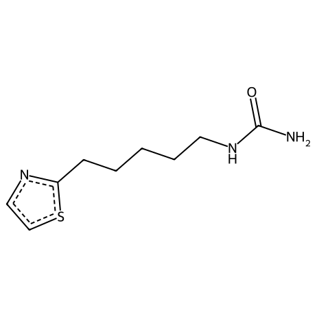 NC(=O)NCCCCCc1nccs1